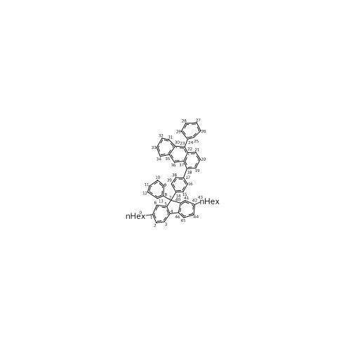 CCCCCCc1ccc2c(c1)C(c1ccccc1)(c1ccc(-c3cccc4c(-c5ccccc5)c5ccccc5cc34)cc1)c1cc(CCCCCC)ccc1-2